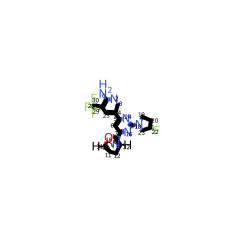 Nc1ncc(-c2cc(N3C[C@@H]4CC[C@H]3CO4)nc(N3CC[C@H](F)C3)n2)cc1C(F)(F)F